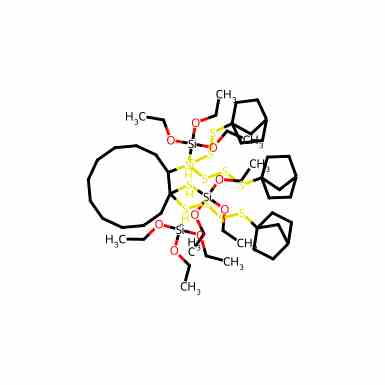 CCO[Si](OCC)(OCC)[SH](SSSC12CCC(CC1)C2)C1CCCCCCCCCCC1([SH](SSSC12CCC(CC1)C2)[Si](OCC)(OCC)OCC)[SH](SSSC12CCC(CC1)C2)[Si](OCC)(OCC)OCC